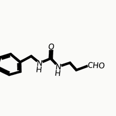 O=CCCNC(=O)NCc1ccccc1